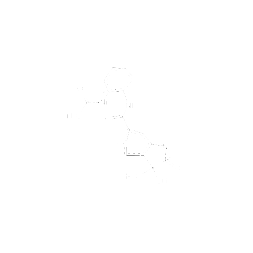 CC(=O)Nc1ccccc1NC(=O)c1ccc2c(c1)NC(=O)C2(C)C